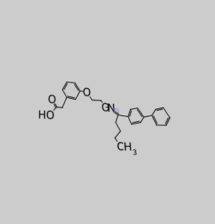 CCCC/C(=N\OCCOc1cccc(CC(=O)O)c1)c1ccc(-c2ccccc2)cc1